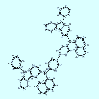 c1ccc(-n2c3ccccc3c3cc(N(c4ccc(-c5ccc(N(c6ccc7c(c6)c6ccccc6n7-c6ccccc6)c6cccc7ccccc67)cc5)cc4)c4cccc5ccccc45)ccc32)cc1